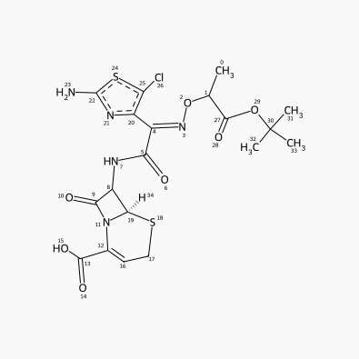 CC(O/N=C(/C(=O)NC1C(=O)N2C(C(=O)O)=CCS[C@H]12)c1nc(N)sc1Cl)C(=O)OC(C)(C)C